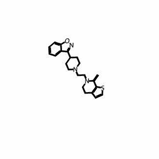 C=C1c2sccc2CCN1CCN1CCC(c2noc3ccccc23)CC1